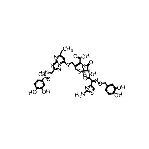 CCc1cc(SCC2=C(C(=O)O)N3C(=O)[C@@H](NC(=O)C(=NOCc4ccc(O)c(O)c4)c4csc(N)n4)[C@H]3SC2)n2nc(CNS(=O)(=O)c3ccc(O)c(O)c3)nc2n1